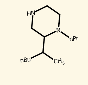 [CH2]CCCC(C)C1CNCCN1CCC